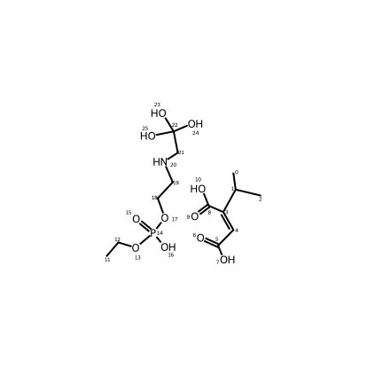 CC(C)/C(=C/C(=O)O)C(=O)O.CCOP(=O)(O)OCCNCC(O)(O)O